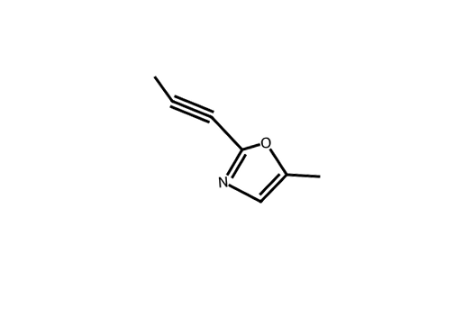 CC#Cc1ncc(C)o1